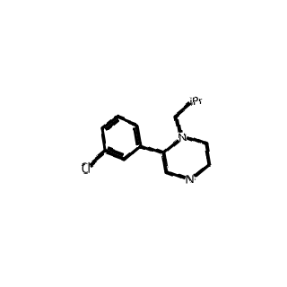 CC(C)CN1CC[N]CC1c1cccc(Cl)c1